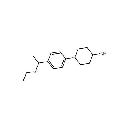 CCSC(C)c1ccc(N2CCC(O)CC2)cc1